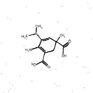 CN(C)C1=CC(C)(C(=O)O)CC(C(=O)O)=C1N